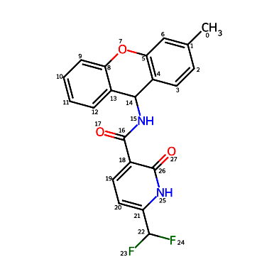 Cc1ccc2c(c1)Oc1ccccc1C2NC(=O)c1ccc(C(F)F)[nH]c1=O